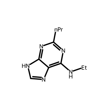 CCCc1nc(NCC)c2nc[nH]c2n1